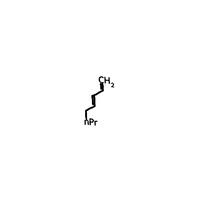 [CH2]CCCC=CC=C